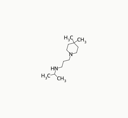 CC(C)NCCCN1CCC(C)(C)CC1